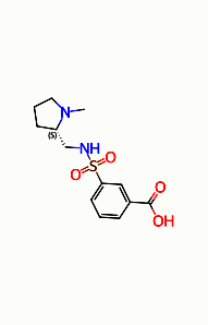 CN1CCC[C@H]1CNS(=O)(=O)c1cccc(C(=O)O)c1